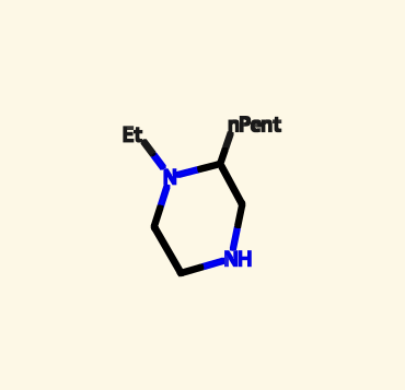 CCCCCC1CNCCN1CC